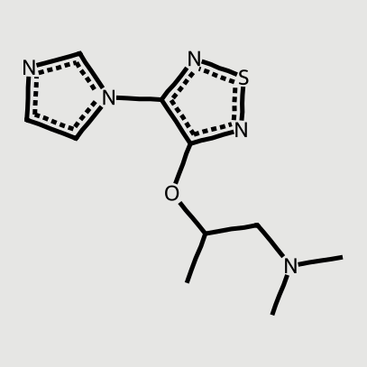 CC(CN(C)C)Oc1nsnc1-n1ccnc1